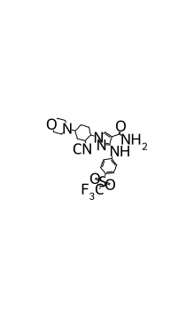 N#CC1CC(N2CCOCC2)CCC1n1cc(C(N)=O)c(Nc2ccc(S(=O)(=O)C(F)(F)F)cc2)n1